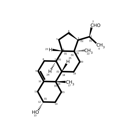 C[C@H](C=O)[C@@H]1CC[C@H]2[C@@H]3CC=C4C[C@@H](O)CC[C@@]4(C)[C@H]3CC[C@@]21C